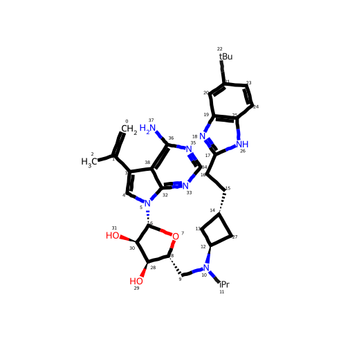 C=C(C)c1cn([C@@H]2O[C@H](CN(C(C)C)[C@H]3C[C@H](CCc4nc5cc(C(C)(C)C)ccc5[nH]4)C3)[C@@H](O)[C@H]2O)c2ncnc(N)c12